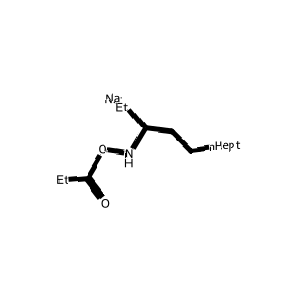 CCCCCCCCCC(CC)NOC(=O)CC.[Na]